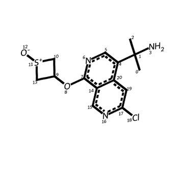 CC(C)(N)c1cnc(OC2C[S+]([O-])C2)c2cnc(Cl)cc12